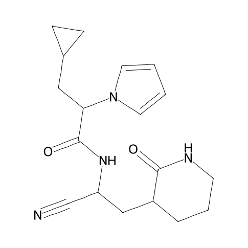 N#CC(CC1CCCNC1=O)NC(=O)C(CC1CC1)n1cccc1